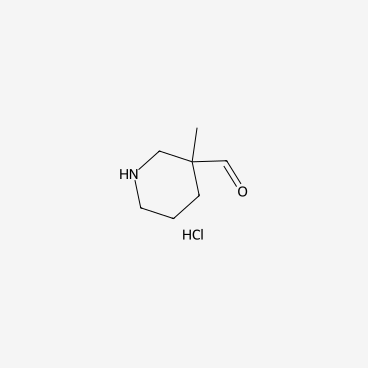 CC1(C=O)CCCNC1.Cl